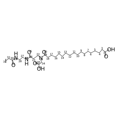 O=C(O)CCCCCCCCCCCCCCCCC(=O)N(CCC(=O)NCCNC(=O)CI)CC(=O)O